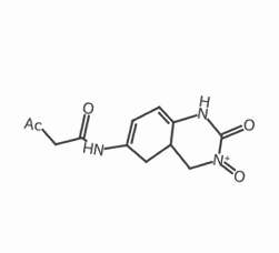 CC(=O)CC(=O)NC1=CC=C2NC(=O)[N+](=O)CC2C1